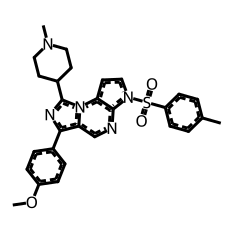 COc1ccc(-c2nc(C3CCN(C)CC3)n3c2cnc2c3ccn2S(=O)(=O)c2ccc(C)cc2)cc1